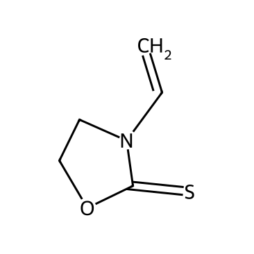 C=CN1CCOC1=S